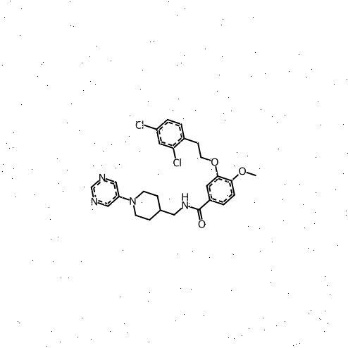 COc1ccc(C(=O)NCC2CCN(c3cncnc3)CC2)cc1OCCc1ccc(Cl)cc1Cl